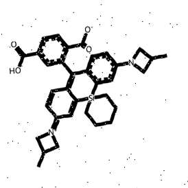 CC1CN(c2ccc3c(c2)[Si]2(CCCCC2)C2=CC(=[N+]4CC(C)C4)C=CC2=C3c2cc(C(=O)O)ccc2C(=O)[O-])C1